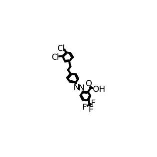 O=C(O)c1cc(C(F)(F)F)ccc1N=Nc1ccc(CCc2ccc(Cl)c(Cl)c2)cc1